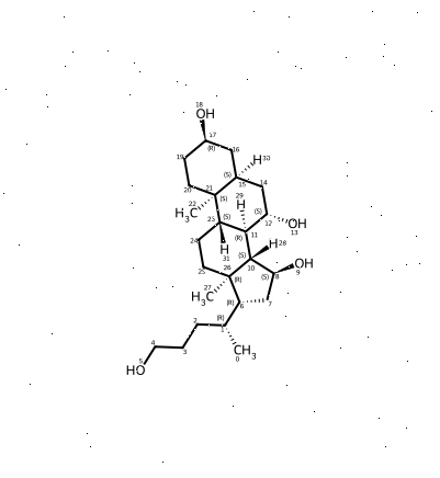 C[C@H](CCCO)[C@H]1C[C@H](O)[C@H]2[C@@H]3[C@@H](O)C[C@@H]4C[C@H](O)CC[C@]4(C)[C@H]3CC[C@@]21C